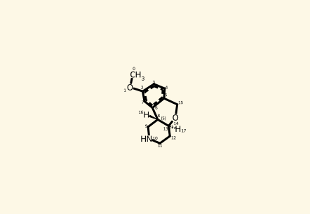 COc1ccc2c(c1)[C@H]1CNCC[C@@H]1OC2